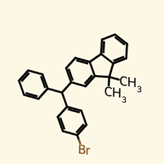 CC1(C)c2ccccc2-c2ccc(C(c3ccccc3)c3ccc(Br)cc3)cc21